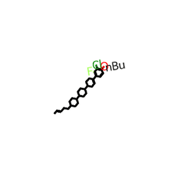 C/C=C/CCC1CCC(C2CCC(C3CC=C(c4ccc(OCCCC)c(Cl)c4F)CC3)CC2)CC1